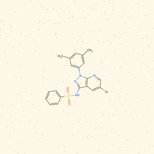 Cc1cc(C)cc(-n2nc(NS(=O)(=O)c3ccccc3)c3cc(Br)cnc32)c1